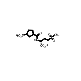 CS(=O)(=O)CC[C@H](NC(=O)C1CCC(S(=O)(=O)O)C1)C(=O)O